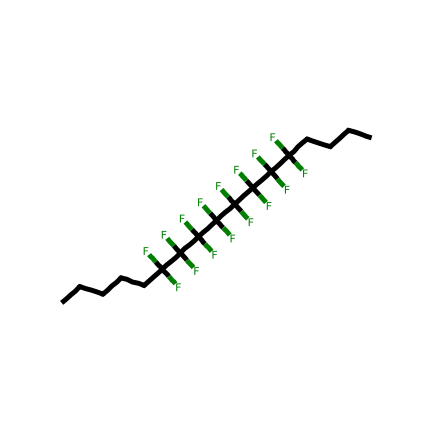 CCCCCC(F)(F)C(F)(F)C(F)(F)C(F)(F)C(F)(F)C(F)(F)C(F)(F)C(F)(F)CCCC